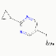 COCc1cnc(C2CC2)nc1